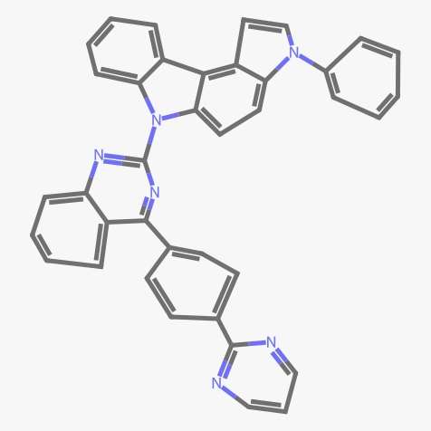 c1ccc(-n2ccc3c4c5ccccc5n(-c5nc(-c6ccc(-c7ncccn7)cc6)c6ccccc6n5)c4ccc32)cc1